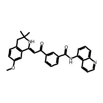 COc1ccc2c(c1)C(=CC(=O)c1cccc(C(=O)Nc3cccc4ncccc34)c1)NC(C)(C)C2